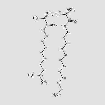 C=C(C)C(=O)OCCCCCCCC(C)C.C=C(C)C(=O)OCCCCCCCCCCCC